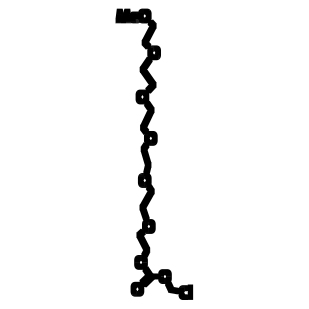 COCCOCCOCCOCCOCCOCCOC(=O)OCCl